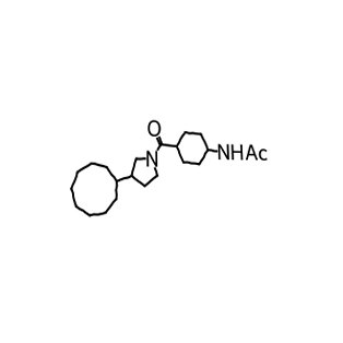 CC(=O)NC1CCC(C(=O)N2CCC(C3CCCCCCCC3)C2)CC1